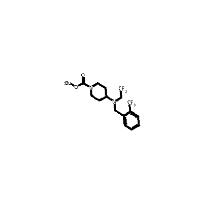 CC(C)(C)OC(=O)N1CCC(N(Cc2ccccc2C(F)(F)F)CC(F)(F)F)CC1